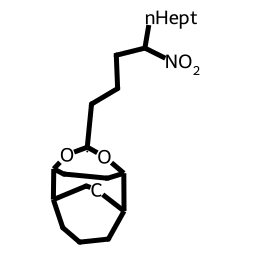 [CH2]CCCCCCC(CCC[C]1OC2CCC(O1)C1CCCC2CC1)[N+](=O)[O-]